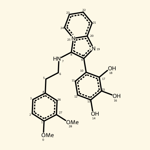 COc1ccc(CCNc2c(-c3ccc(O)c(O)c3O)nc3ccccn23)cc1OC